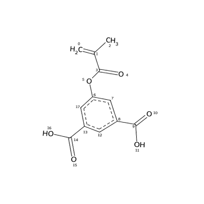 C=C(C)C(=O)Oc1cc(C(=O)O)cc(C(=O)O)c1